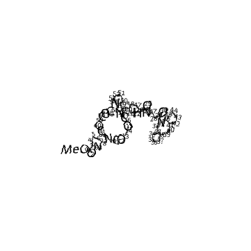 COC(=O)c1cccc(CN2CCOCCOCCN(C(c3ccc(C(=O)NCCC(=O)N4Cc5ccccc5C#Cc5ccccc54)cc3)c3ccccn3)CCOCCOCC2)n1